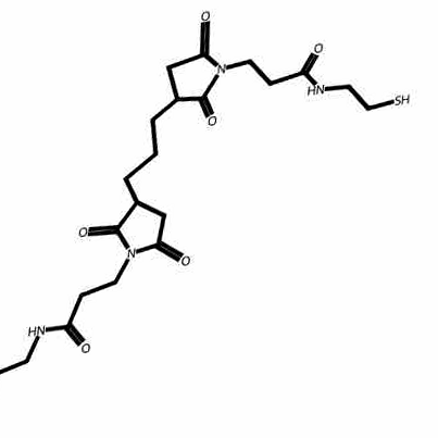 O=C(CCN1C(=O)CC(CCCC2CC(=O)N(CCC(=O)NCCS)C2=O)C1=O)NCCS